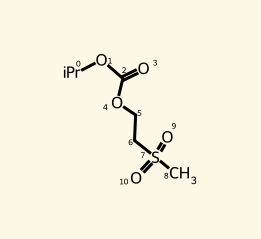 CC(C)OC(=O)OCCS(C)(=O)=O